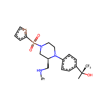 CC(C)NC[C@H]1CN(S(=O)(=O)c2cccs2)CCN1c1ccc([C@@](C)(O)C(F)(F)F)cc1